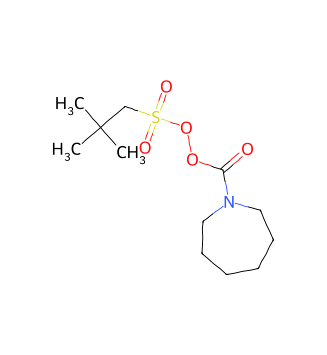 CC(C)(C)CS(=O)(=O)OOC(=O)N1CCCCCC1